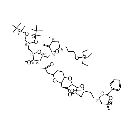 C=C(Br)C[C@@H](CCC12CC3OC4C(OC5CCC(CC(=O)C[C@@H]6[C@@H](OC)[C@@H](C[C@@H](CO[Si](C)(C)C(C)(C)C)O[Si](C)(C)C(C)(C)C)O[C@H]6C[C@H]6O[C@@H](CCCO[Si](CC)(CC)CC)C[C@@H](C)C6=C)OC5C4O1)C3O2)OC(=O)c1ccccc1